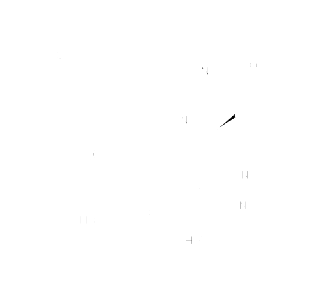 Cc1sc2c(c1C)C(c1ccc(Cl)cc1)=N[C@@H](Cc1ncco1)c1nnc(C)n1-2